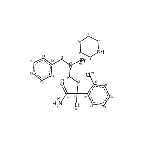 C1CCNCC1.CCC(CCN(Cc1ccccc1)C(C)C)(C(N)=O)c1ccccc1Cl